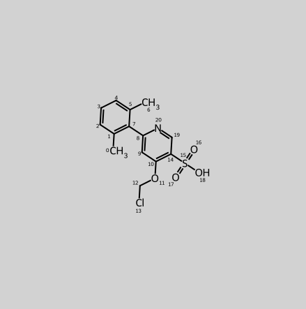 Cc1cccc(C)c1-c1cc(OCCl)c(S(=O)(=O)O)cn1